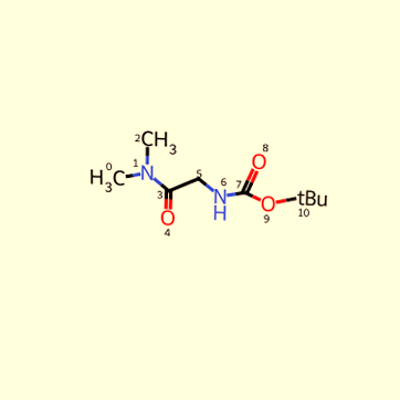 CN(C)C(=O)CNC(=O)OC(C)(C)C